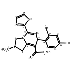 COC(=O)C1=C2C[C@@H](C(=O)O)CN2C(c2nccs2)=NC1c1ccc(F)cc1Br